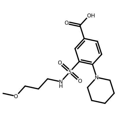 COCCCNS(=O)(=O)c1cc(C(=O)O)ccc1N1CCCCC1